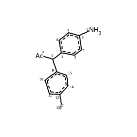 CC(=O)C(c1ccc(N)cc1)c1ccc(F)cc1